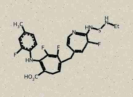 CCNSNC1=NC=CC(CC2=CCC(C(=O)O)=C(Nc3ccc(C)cc3F)C(F)=C2F)=CC1F